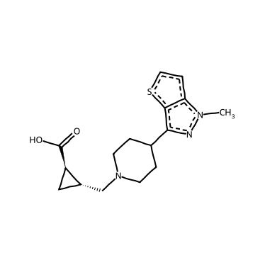 Cn1nc(C2CCN(C[C@@H]3C[C@H]3C(=O)O)CC2)c2sccc21